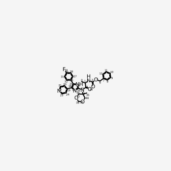 CC(NC(=O)OCc1ccccc1)C(=O)N(c1nc(-c2ccncc2)c(-c2ccc(F)cc2)[nH]1)C1(C)COCOC1